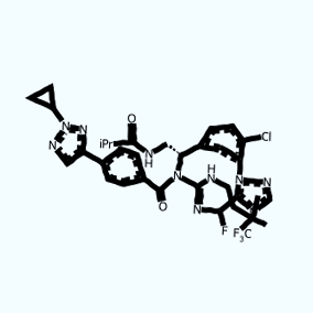 CC(C)C(=O)NC[C@@H]1c2ccc(Cl)c(c2)-n2ncnc2C(F)/N=C(\NCCC(C)(C)C(F)(F)F)N1C(=O)c1ccc(-c2cnn(C3CC3)n2)cc1